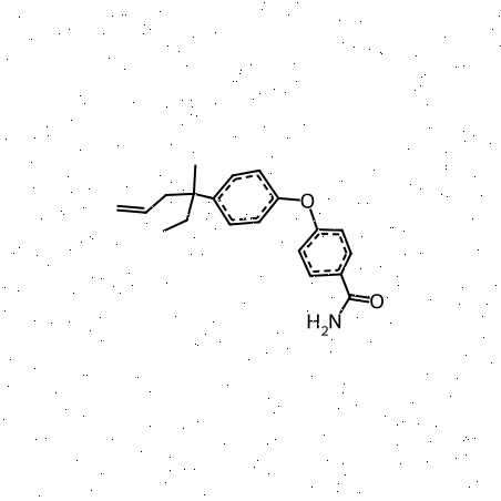 C=CCC(C)(CC)c1ccc(Oc2ccc(C(N)=O)cc2)cc1